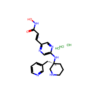 Cl.Cl.Cl.O=C(/C=C/c1cnc(N[C@@]2(Cc3cccnc3)CCCNC2)cn1)NO